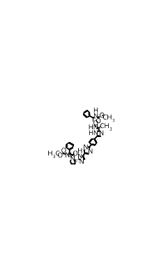 COC(=O)N[C@@H](CON[C@@H](C)c1ncc(-c2ccc(-c3ncc(-c4cnc([C@@H]5CCCN5C(=O)[C@H](NC(=O)OC)c5ccccc5)[nH]4)cn3)cc2)[nH]1)c1ccccc1